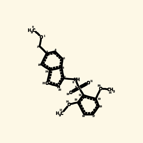 COCc1ccc2c(NS(=O)(=O)c3c(OC)cccc3OC)noc2c1